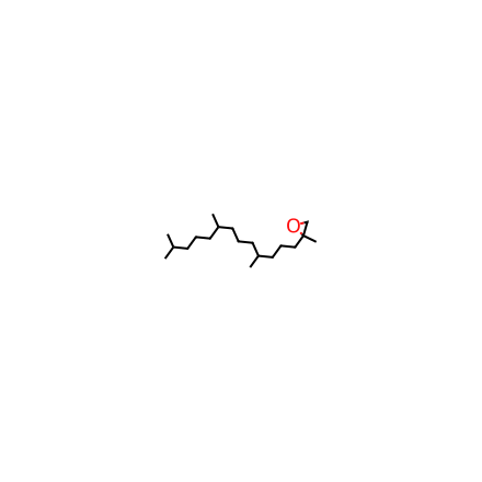 CC(C)CCCC(C)CCCC(C)CCCC1(C)CO1